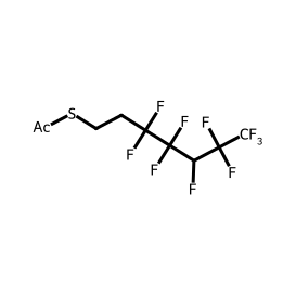 CC(=O)SCCC(F)(F)C(F)(F)C(F)C(F)(F)C(F)(F)F